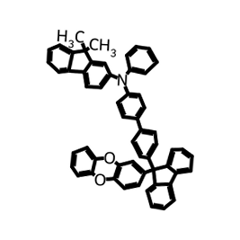 CC1(C)c2ccccc2-c2ccc(N(c3ccccc3)c3ccc(-c4ccc(C5(c6ccc7c(c6)Oc6ccccc6O7)c6ccccc6-c6ccccc65)cc4)cc3)cc21